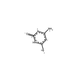 Nc1cc([18F])[nH]c(=O)n1